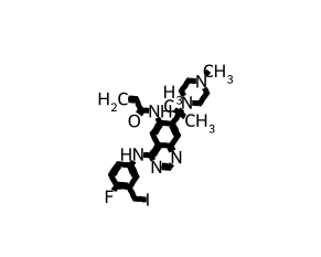 C=CC(=O)Nc1cc2c(Nc3ccc(F)c(CI)c3)ncnc2cc1C(C)(C)N1CCN(C)CC1